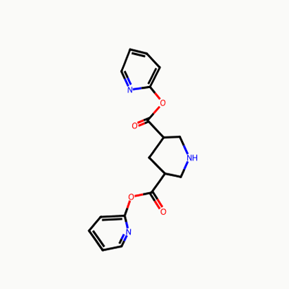 O=C(Oc1ccccn1)C1CNCC(C(=O)Oc2ccccn2)C1